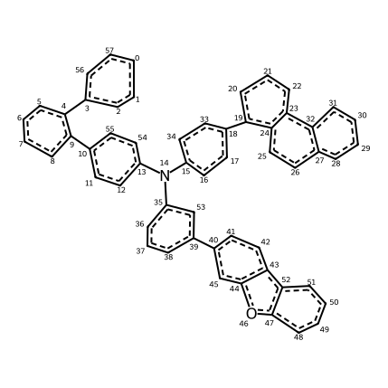 c1ccc(-c2ccccc2-c2ccc(N(c3ccc(-c4cccc5c4ccc4ccccc45)cc3)c3cccc(-c4ccc5c(c4)oc4ccccc45)c3)cc2)cc1